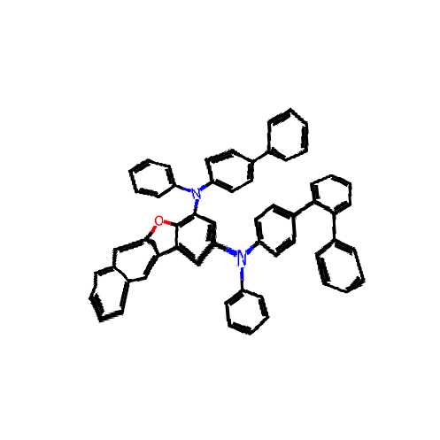 c1ccc(-c2ccc(N(c3ccccc3)c3cc(N(c4ccccc4)c4ccc(-c5ccccc5-c5ccccc5)cc4)cc4c3oc3cc5ccccc5cc34)cc2)cc1